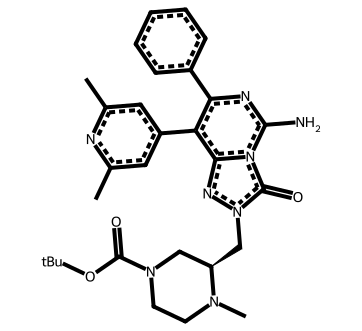 Cc1cc(-c2c(-c3ccccc3)nc(N)n3c(=O)n(C[C@@H]4CN(C(=O)OC(C)(C)C)CCN4C)nc23)cc(C)n1